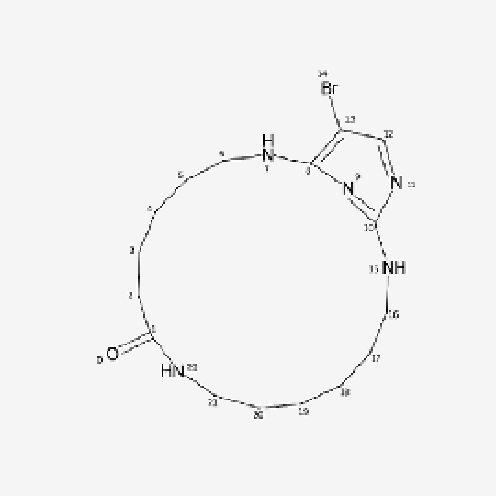 O=C1CCCCCNc2nc(ncc2Br)NCCCCCCN1